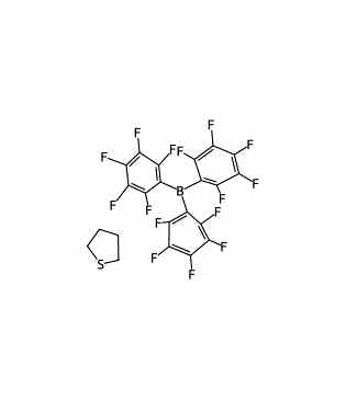 C1CCSC1.Fc1c(F)c(F)c(B(c2c(F)c(F)c(F)c(F)c2F)c2c(F)c(F)c(F)c(F)c2F)c(F)c1F